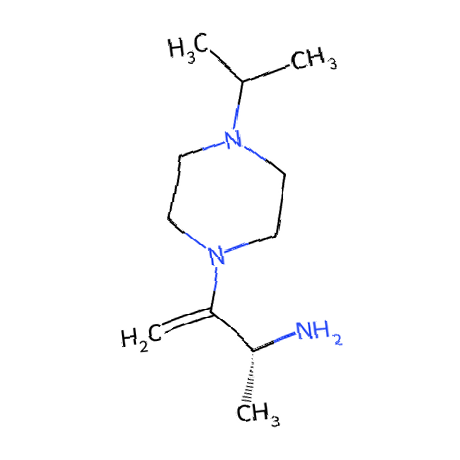 C=C([C@@H](C)N)N1CCN(C(C)C)CC1